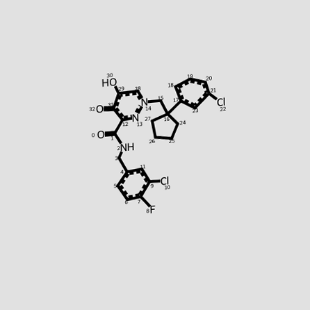 O=C(NCc1ccc(F)c(Cl)c1)c1nn(CC2(c3cccc(Cl)c3)CCCC2)cc(O)c1=O